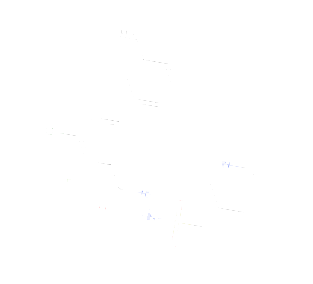 Cc1cccc(-c2cc(Cl)c(F)c(C(=O)NNS(=O)(=O)CC3CCCNC3)c2)c1